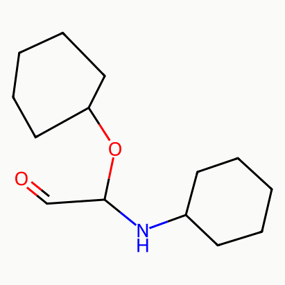 O=CC(NC1CCCCC1)OC1CCCCC1